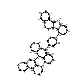 c1ccc2c(c1)cc(-c1c3ccccc3c(-c3ccc(-c4cccc5oc6c7ccccc7ccc6c45)cc3)c3ccccc13)c1ccccc12